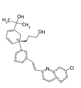 CC(C)(O)C1=CC=C[C@@](CCCO)(c2cccc(C=Cc3ccc4ccc(Cl)cc4n3)c2)C1